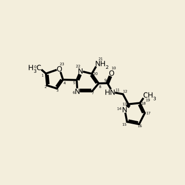 Cc1ccc(-c2ncc(C(=O)NCc3ncccc3C)c(N)n2)o1